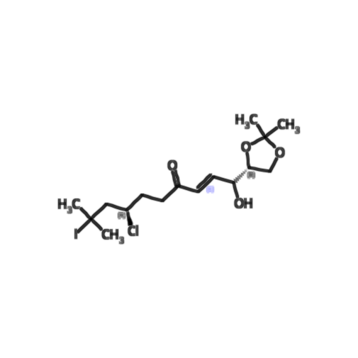 CC(C)(I)C[C@H](Cl)CCC(=O)/C=C/C(O)[C@H]1COC(C)(C)O1